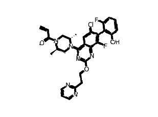 C=CC(=O)N1C[C@H](C)N(c2nc(OCCc3ncccn3)nc3c(F)c(-c4c(O)cccc4F)c(Cl)cc23)C[C@H]1C